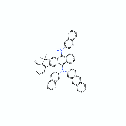 C=CC1=C(/C=C\C)c2cc3c(N(c4ccc5ccccc5c4)c4ccc5cc6ccccc6cc5c4)c4ccccc4c(Nc4ccc5ccccc5c4)c3cc2C1(C)C